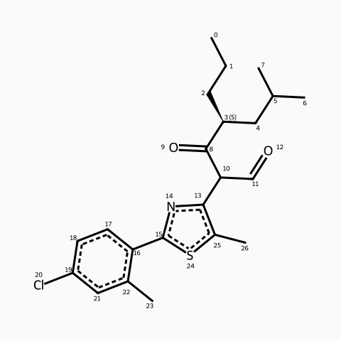 CCC[C@@H](CC(C)C)C(=O)C(C=O)c1nc(-c2ccc(Cl)cc2C)sc1C